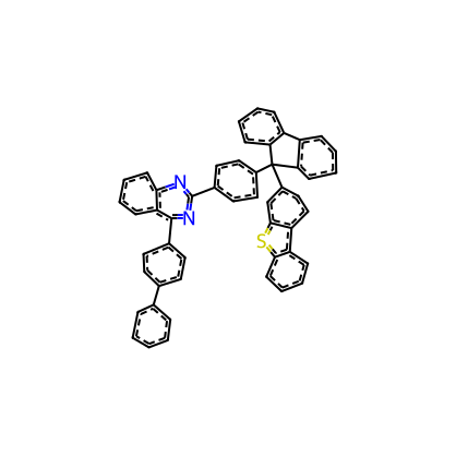 c1ccc(-c2ccc(-c3nc(-c4ccc(C5(c6ccc7c(c6)sc6ccccc67)c6ccccc6-c6ccccc65)cc4)nc4ccccc34)cc2)cc1